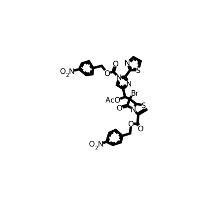 CC(=O)OC(c1cn(C(=O)OCc2ccc([N+](=O)[O-])cc2)c(-c2nccs2)n1)C1(Br)C(=O)N2C(C(=O)OCc3ccc([N+](=O)[O-])cc3)=CSC21